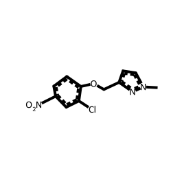 Cn1ccc(COc2ccc([N+](=O)[O-])cc2Cl)n1